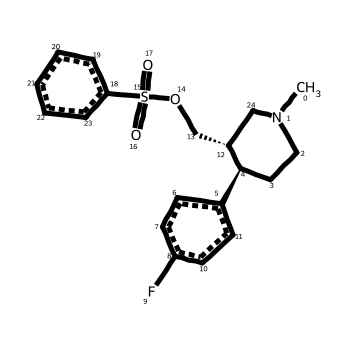 CN1CC[C@@H](c2ccc(F)cc2)[C@H](COS(=O)(=O)c2ccccc2)C1